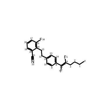 CCCC/C(F)=C(\F)c1ccc(CCc2c(F)cccc2C#N)cc1